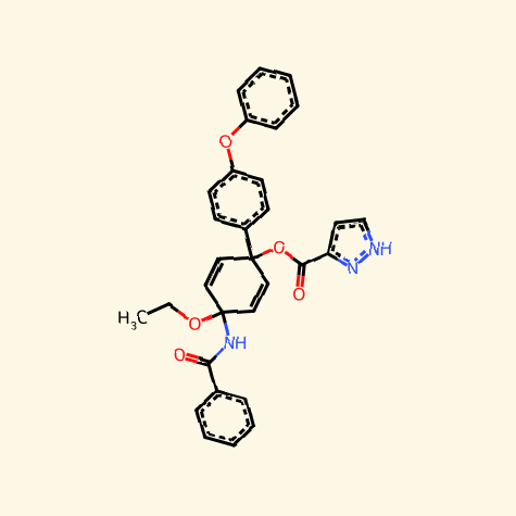 CCOC1(NC(=O)c2ccccc2)C=CC(OC(=O)c2cc[nH]n2)(c2ccc(Oc3ccccc3)cc2)C=C1